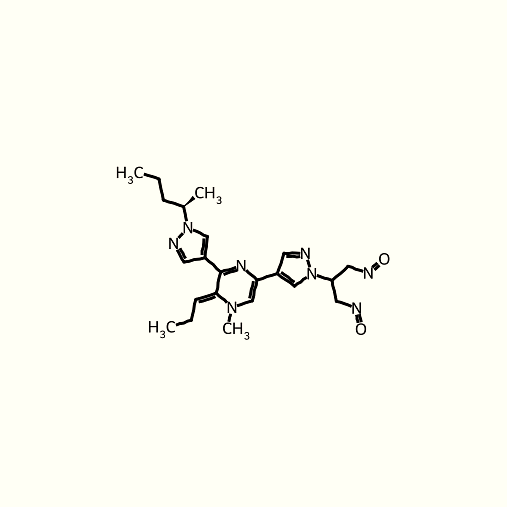 CC/C=C1/C(c2cnn([C@H](C)CCC)c2)=NC(c2cnn(C(CN=O)CN=O)c2)=CN1C